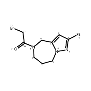 CCc1cc2n(n1)CCCN(C(=O)CBr)C2